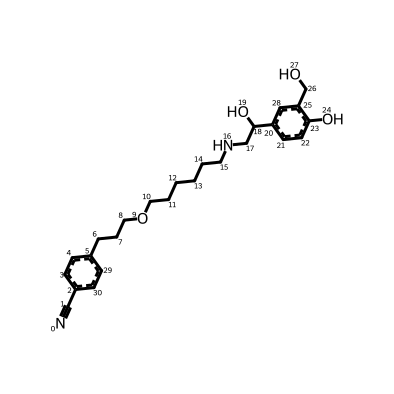 N#Cc1ccc(CCCOCCCCCCNCC(O)c2ccc(O)c(CO)c2)cc1